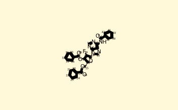 O=C(Nc1ncnc2c1ncn2[C@@H]1O[C@H](COC(=O)c2ccccc2)[C@@H](OC(=O)c2ccccc2)[C@H]1F)c1ccccc1